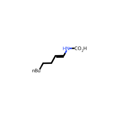 CCCCCCC=CNC(=O)O